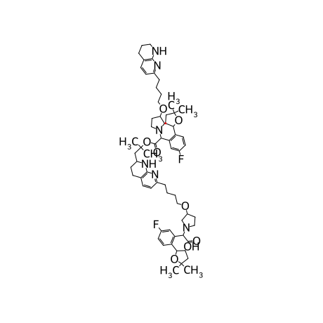 CC(C)(CC1CCc2ccc(CCCCOC3CCN(C(C(=O)O)c4cc(F)ccc4C4CCC(C)(C)O4)C3)nc2N1)OC(=O)C(c1cc(F)ccc1C1CCC(C)(C)O1)N1CCC(OCCCCc2ccc3c(n2)NCCC3)C1